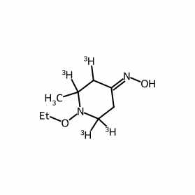 [3H]C1C(=NO)CC([3H])([3H])N(OCC)C1([3H])C